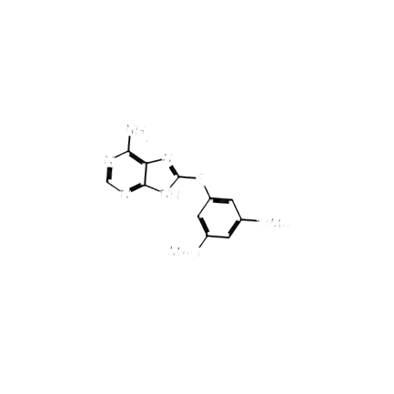 COc1cc(OC)cc(Sc2nc3c(N)ncnc3[nH]2)c1